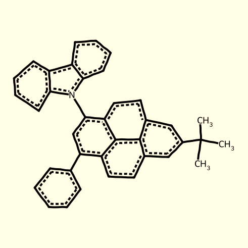 CC(C)(C)c1cc2ccc3c(-c4ccccc4)cc(-n4c5ccccc5c5ccccc54)c4ccc(c1)c2c34